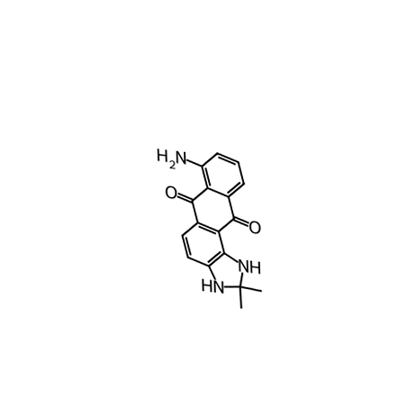 CC1(C)Nc2ccc3c(c2N1)C(=O)c1cccc(N)c1C3=O